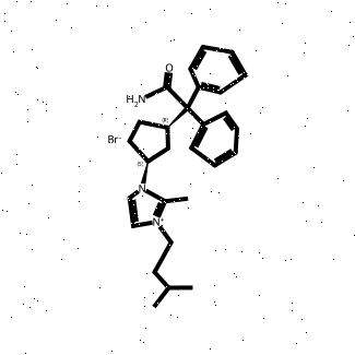 Cc1n([C@H]2CC[C@@H](C(C(N)=O)(c3ccccc3)c3ccccc3)C2)cc[n+]1CCC(C)C.[Br-]